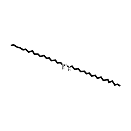 CCCCCCCCCCCCCCCCCCNONCCCCCCCCCCCCCCCCCC